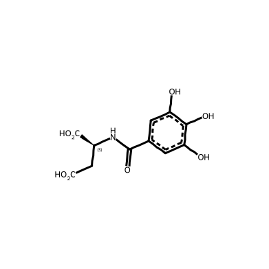 O=C(O)C[C@H](NC(=O)c1cc(O)c(O)c(O)c1)C(=O)O